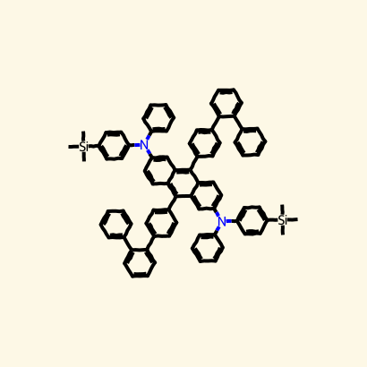 C[Si](C)(C)c1ccc(N(c2ccccc2)c2ccc3c(-c4ccc(-c5ccccc5-c5ccccc5)cc4)c4cc(N(c5ccccc5)c5ccc([Si](C)(C)C)cc5)ccc4c(-c4ccc(-c5ccccc5-c5ccccc5)cc4)c3c2)cc1